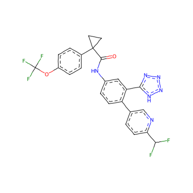 O=C(Nc1ccc(-c2ccc(C(F)F)nc2)c(-c2nnn[nH]2)c1)C1(c2ccc(OC(F)(F)F)cc2)CC1